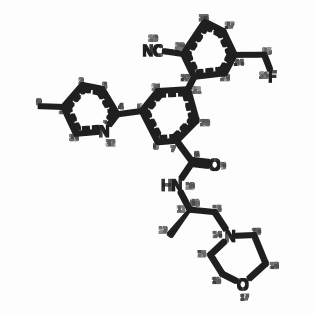 Cc1ccc(-c2cc(C(=O)N[C@H](C)CN3CCOCC3)cc(-c3cc(CF)ccc3C#N)c2)nc1